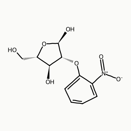 O=[N+]([O-])c1ccccc1O[C@@H]1[C@@H](O)[C@H](CO)O[C@H]1O